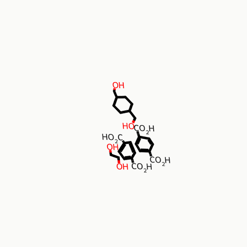 O=C(O)c1ccc(C(=O)O)cc1.O=C(O)c1ccc(C(=O)O)cc1.OCC1CCC(CO)CC1.OCCO